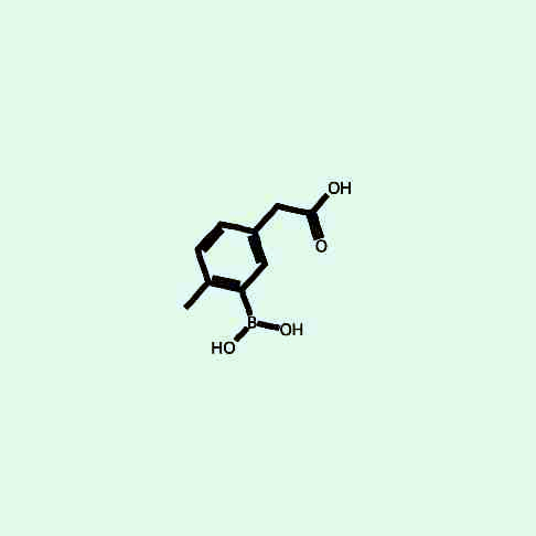 Cc1ccc(CC(=O)O)cc1B(O)O